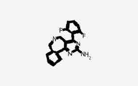 Nc1nc2c(c(-c3c(F)cccc3F)n1)CN=Cc1ccccc1-2